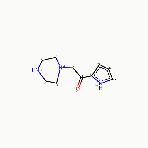 O=C(CN1CCNCC1)c1ccc[nH]1